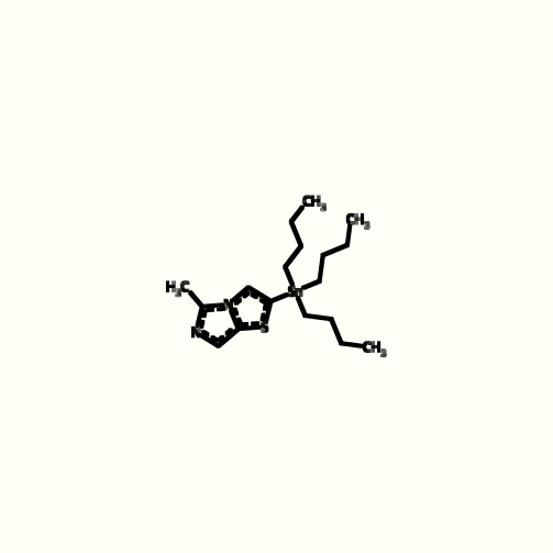 CCC[CH2][Sn]([CH2]CCC)([CH2]CCC)[c]1cn2c(C)ncc2s1